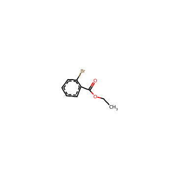 CCOC(=O)c1c[c]ccc1Br